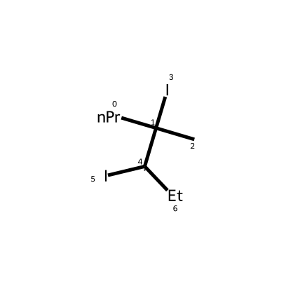 CCCC(C)(I)[C](I)CC